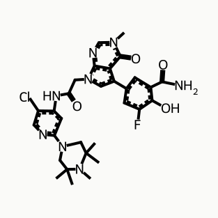 CN1C(C)(C)CN(c2cc(NC(=O)Cn3cc(-c4cc(F)c(O)c(C(N)=O)c4)c4c(=O)n(C)cnc43)c(Cl)cn2)CC1(C)C